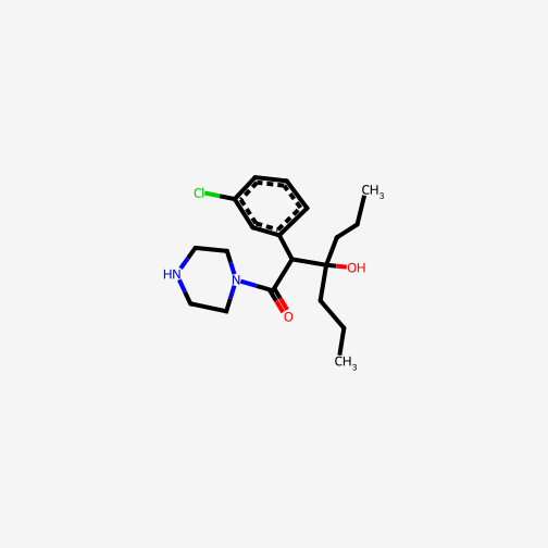 CCCC(O)(CCC)C(C(=O)N1CCNCC1)c1cccc(Cl)c1